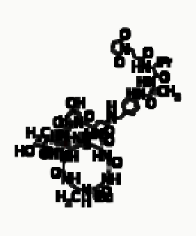 C=C1CNC(=O)C2Cc3c([nH]c4ccccc34)SCC(NC(=O)CNC(=O)[C@H]([C@@H](C)CC)N1)C(=O)NC(CC(=O)NCc1ccc(NC(=O)[C@H](C)NC(=O)C(NC(=O)CCN3C(=O)C=CC3=O)C(C)C)cc1)C(=O)N1C[C@H](O)C[C@H]1C(=O)N[C@@H]([C@@H](C)[C@@H](O)CO)C(=O)N2